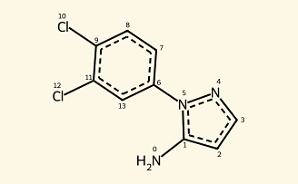 Nc1ccnn1-c1ccc(Cl)c(Cl)c1